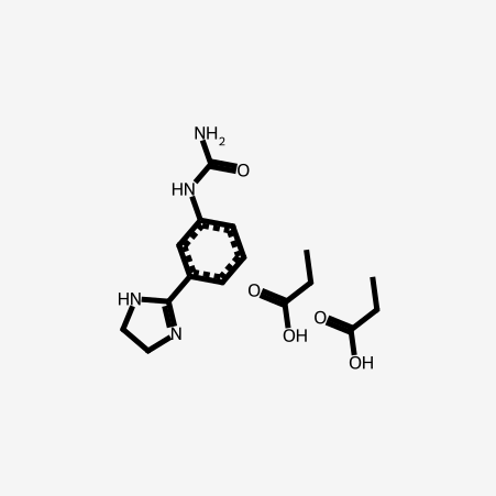 CCC(=O)O.CCC(=O)O.NC(=O)Nc1cccc(C2=NCCN2)c1